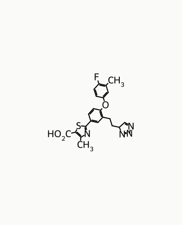 Cc1cc(Oc2ccc(-c3nc(C)c(C(=O)O)s3)cc2CCC2C=NN=N2)ccc1F